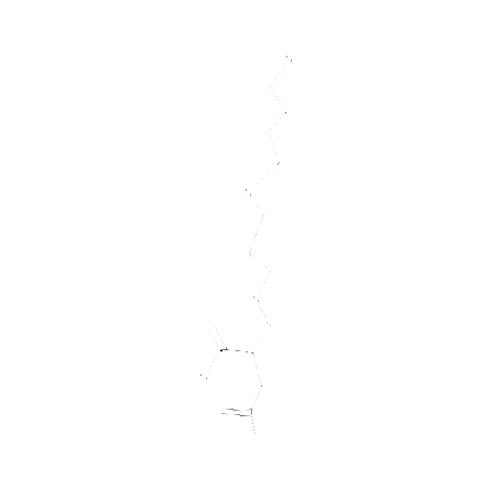 NCCCCNCCCNNC(CC(=O)O)C(N)=O